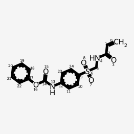 C=CC(=O)NCS(=O)(=O)c1ccc(NC(=O)Oc2ccccc2)cc1